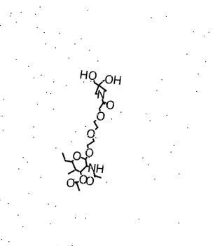 CCC1OC(OCCOCCOCC(=O)N2CC(CO)(CO)C2)C(NC(C)=O)C(OC(C)=O)C1C